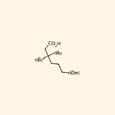 CCCCCCCCCCCCCC([CH]C(=O)O)(CCCC)CCCC